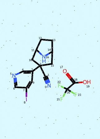 N#CC1(c2cncc(I)c2)CC2CCC(C1)N2.O=C(O)C(F)(F)F